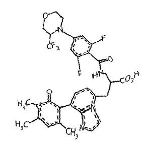 Cc1cc(C)n(C)c(=O)c1-c1ccc(CC(NC(=O)c2c(F)cc(N3CCOCC3C(F)(F)F)cc2F)C(=O)O)n2ccnc12